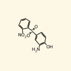 Nc1cc(S(=O)(=O)c2ccccc2[N+](=O)[O-])ccc1O